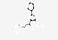 Cc1nc(-c2cccnc2)sc1C(=O)[CH]CN(C)C